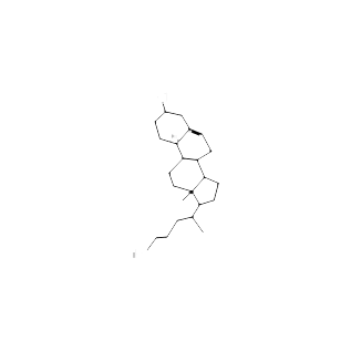 CC(C)CCCC(C)C1CCC2C3CC=C4CC(Cl)CC[C@]4(C)C3CCC12C